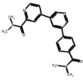 CN(C)C(=O)c1ccc(-c2cncc(-c3ccnc(C(=O)N(C)C)c3)c2)cc1